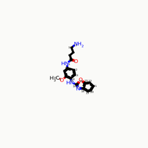 COc1cc(NC(=O)CCCN)ccc1Nc1nc2ccccc2o1